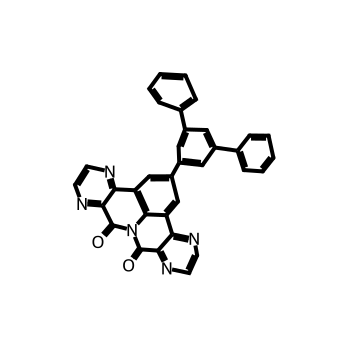 O=c1c2nccnc2c2cc(-c3cc(-c4ccccc4)cc(-c4ccccc4)c3)cc3c4nccnc4c(=O)n1c23